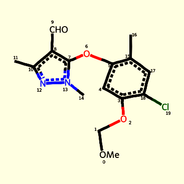 COCOc1cc(Oc2c(C=O)c(C)nn2C)c(C)cc1Cl